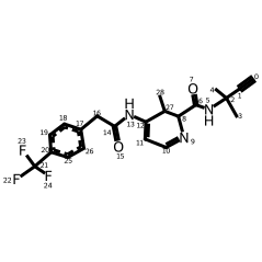 C#CC(C)(C)NC(=O)C1N=CC=C(NC(=O)Cc2ccc(C(F)(F)F)cc2)C1C